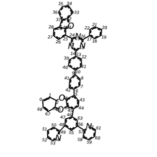 C1=CC2Oc3c(-c4ccc(-c5ccc(-c6nc(-c7ccccc7)nc(-c7cccc8c7oc7ccccc78)n6)cc5)cc4)ccc(-c4cc(-c5ccccn5)cc(-c5ccccn5)c4)c3OC2C=C1